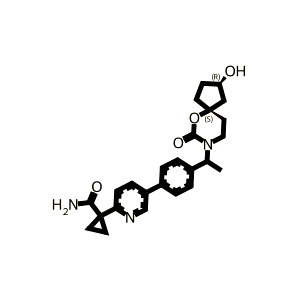 CC(c1ccc(-c2ccc(C3(C(N)=O)CC3)nc2)cc1)N1CC[C@]2(CC[C@@H](O)C2)OC1=O